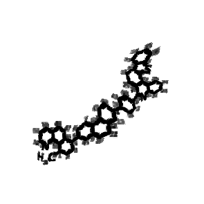 Cc1ccc(-c2ccc3c(ccc4cc(-c5ccc(-c6nc7ccccc7c7c6ccc6c8ccccc8sc67)cc5)ccc43)c2)c2ccc3cccnc3c12